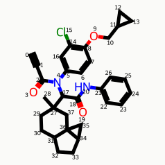 C#CC(=O)N(c1ccc(OCC2CC2)c(Cl)c1)C(C(=O)Nc1ccccc1)C1(C)CCC2CCC3CC23C1